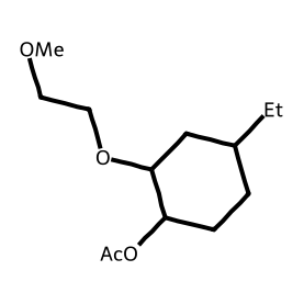 [CH2]CC1CCC(OC(C)=O)C(OCCOC)C1